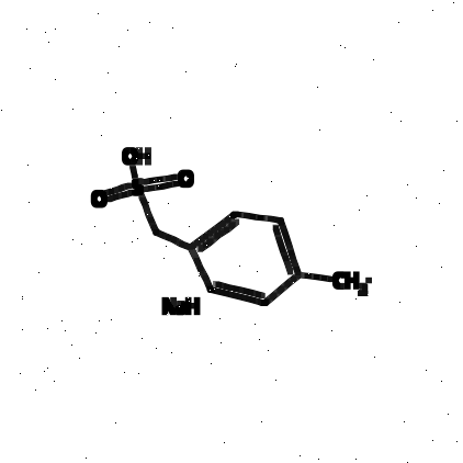 [CH2]c1ccc(CS(=O)(=O)O)cc1.[NaH]